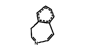 C1=Cc2ccccc2CC=N1